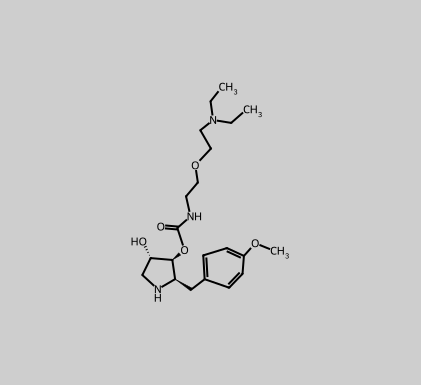 CCN(CC)CCOCCNC(=O)O[C@@H]1[C@@H](O)CN[C@@H]1Cc1ccc(OC)cc1